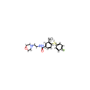 O=C(NCCN1CCOCC1)c1ccc(Sc2ccc(F)cc2)c([N+](=O)[O-])c1